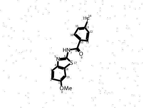 COc1ccc2nc(NC(=O)c3ccc([19F])cc3)sc2c1